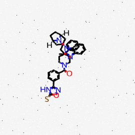 Cc1nc2ccccc2n1[C@H]1C[C@H]2CC[C@@H](C1)N2CCC1(c2ccccc2)CCN(C(=O)c2cccc(-c3noc(=S)[nH]3)c2)CC1